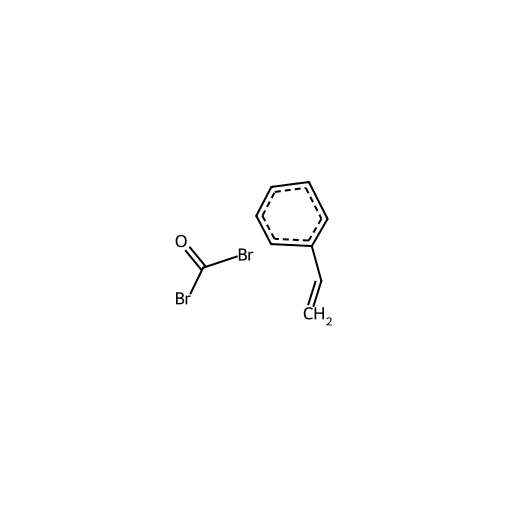 C=Cc1ccccc1.O=C(Br)Br